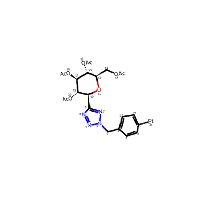 CCc1ccc(Cn2nnc([C@@H]3O[C@H](COC(C)=O)[C@@H](OC(C)=O)[C@H](OC(C)=O)[C@H]3OC(C)=O)n2)cc1